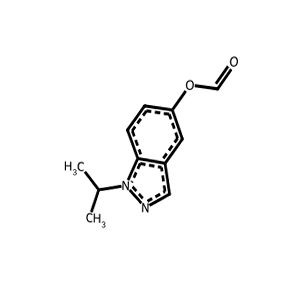 CC(C)n1ncc2cc(OC=O)ccc21